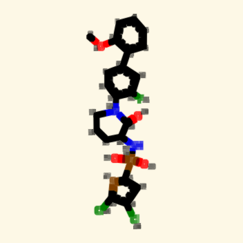 COc1ccccc1-c1ccc(N2CCCC(NS(=O)(=O)c3cc(Cl)c(Cl)s3)C2=O)c(F)c1